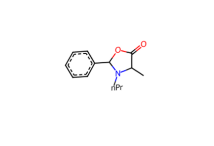 CCCN1C(C)C(=O)OC1c1ccccc1